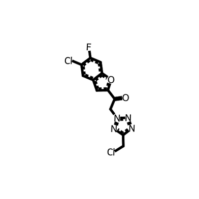 O=C(Cn1nnc(CCl)n1)c1cc2cc(Cl)c(F)cc2o1